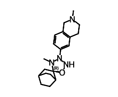 CN1CCc2cc(N3NO[C@@]4(CC5CCC4CC5)N3C)ccc2C1